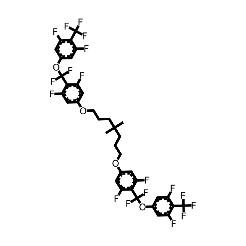 CC(C)(CCCOc1cc(F)c(C(F)(F)Oc2cc(F)c(C(F)(F)F)c(F)c2)c(F)c1)CCCOc1cc(F)c(C(F)(F)Oc2cc(F)c(C(F)(F)F)c(F)c2)c(F)c1